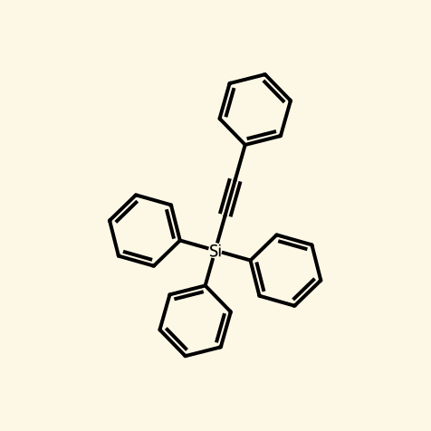 C(#C[Si](c1ccccc1)(c1ccccc1)c1ccccc1)c1ccccc1